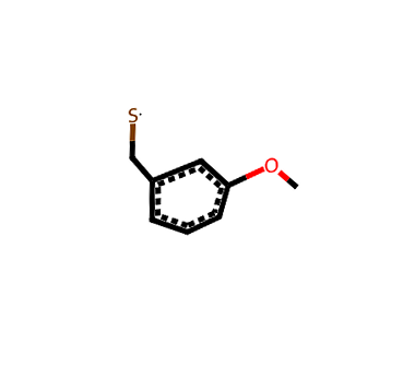 COc1cccc(C[S])c1